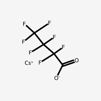 O=C([O-])C(F)(F)C(F)(F)C(F)(F)F.[Cs+]